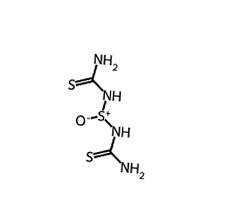 NC(=S)N[S+]([O-])NC(N)=S